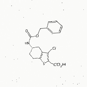 O=C(NC1CCc2sc(C(=O)O)c(Cl)c2C1)OCc1ccccc1